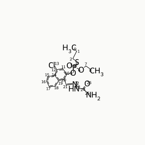 CCCSP(=O)(OCC)Oc1cc(Cl)c2ccccc2c1C=NNC(N)=O